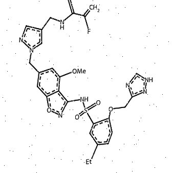 C=C(F)C(=O)NCc1cnn(Cc2cc(OC)c3c(NS(=O)(=O)c4cc(CC)ccc4OCc4nc[nH]n4)noc3c2)c1